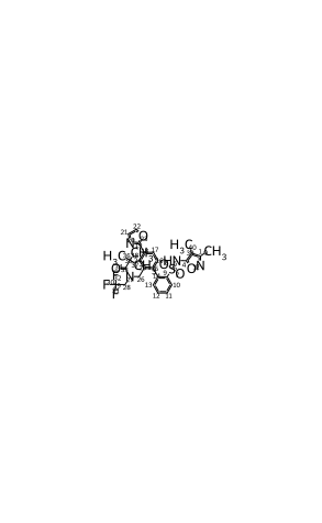 Cc1noc(NS(=O)(=O)c2ccccc2-c2ccc(-c3ncco3)cc2CN(CC(F)(F)F)C(=O)C(C)(C)C)c1C